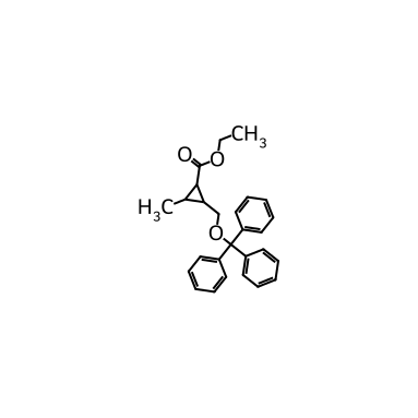 CCOC(=O)C1C(C)C1COC(c1ccccc1)(c1ccccc1)c1ccccc1